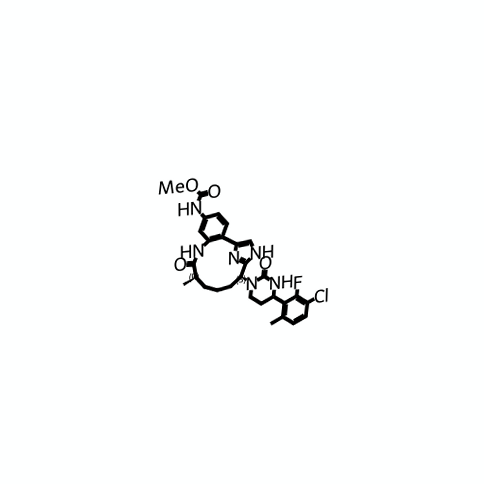 COC(=O)Nc1ccc2c(c1)NC(=O)[C@H](C)CCC[C@H](N1CCC(c3c(C)ccc(Cl)c3F)NC1=O)c1nc-2c[nH]1